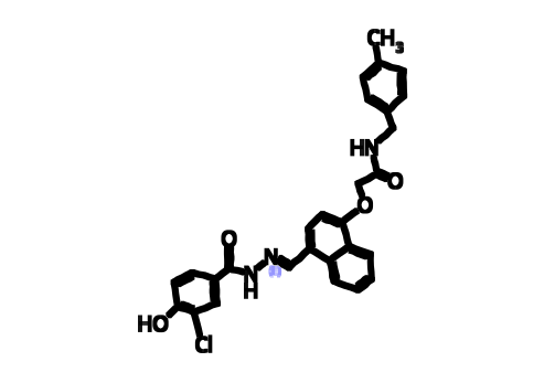 Cc1ccc(CNC(=O)COc2ccc(/C=N/NC(=O)c3ccc(O)c(Cl)c3)c3ccccc23)cc1